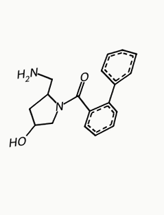 NCC1CC(O)CN1C(=O)c1ccccc1-c1ccccc1